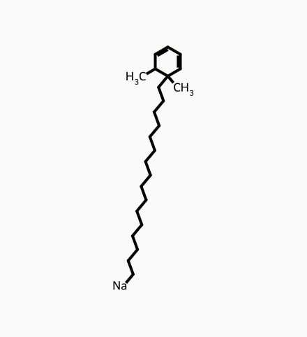 CC1C=CC=CC1(C)CCCCCCCCCCCCCCC[CH2][Na]